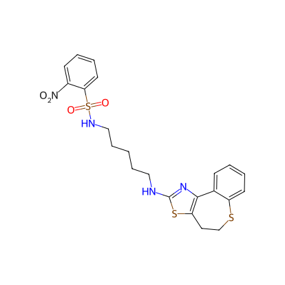 O=[N+]([O-])c1ccccc1S(=O)(=O)NCCCCCNc1nc2c(s1)CCSc1ccccc1-2